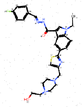 CCn1cc(C(=O)N/N=C/c2ccc(F)cc2)c2cc(-c3nc(CN4CCN(CCO)CC4)cs3)ccc21